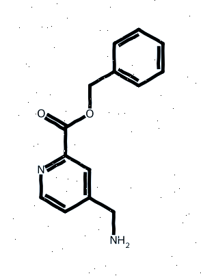 NCc1ccnc(C(=O)OCc2ccccc2)c1